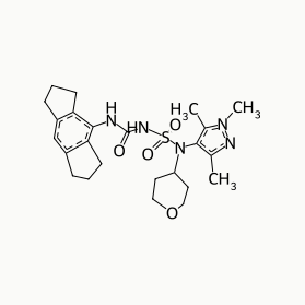 Cc1nn(C)c(C)c1N(C1CCOCC1)S(=O)(=O)NC(=O)Nc1c2c(cc3c1CCC3)CCC2